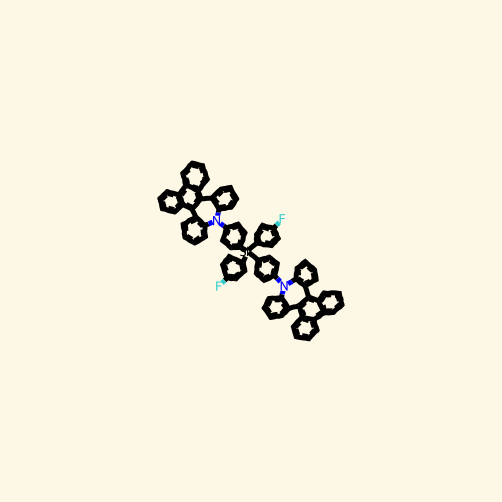 Fc1ccc([Si](c2ccc(F)cc2)(c2ccc(N3c4ccccc4-c4c(c5ccccc5c5ccccc45)-c4ccccc43)cc2)c2ccc(N3c4ccccc4-c4c(c5ccccc5c5ccccc45)-c4ccccc43)cc2)cc1